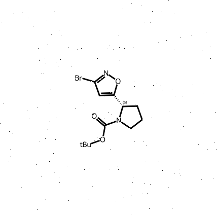 CC(C)(C)OC(=O)N1CCC[C@H]1c1cc(Br)no1